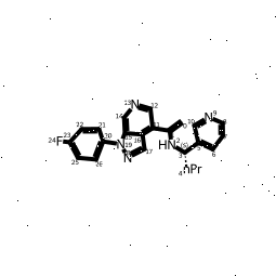 C=C(N[C@@H](CCC)c1cccnc1)c1cncc2c1cnn2-c1ccc(F)cc1